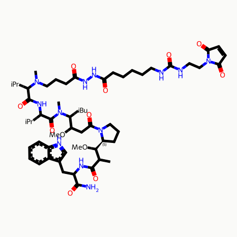 CCC(C)C(C(CC(=O)N1CCC[C@H]1C(OC)C(C)C(=O)NC(Cc1c[nH]c2ccccc12)C(N)=O)OC)N(C)C(=O)C(NC(=O)C(C(C)C)N(C)CCCC(=O)NNC(=O)CCCCCNC(=O)NCCN1C(=O)C=CC1=O)C(C)C